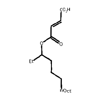 CCCCCCCCCCCC(CC)OC(=O)/C=C/C(=O)O